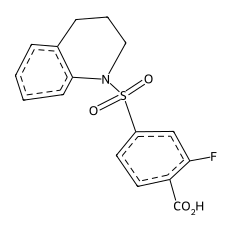 O=C(O)c1ccc(S(=O)(=O)N2CCCc3ccccc32)cc1F